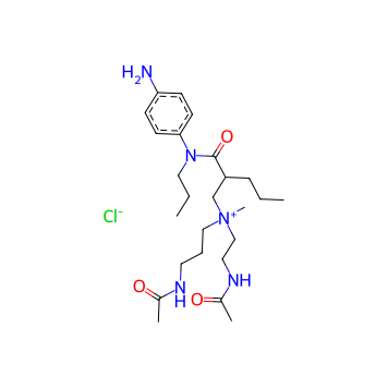 CCCC(C[N+](C)(CCCNC(C)=O)CCNC(C)=O)C(=O)N(CCC)c1ccc(N)cc1.[Cl-]